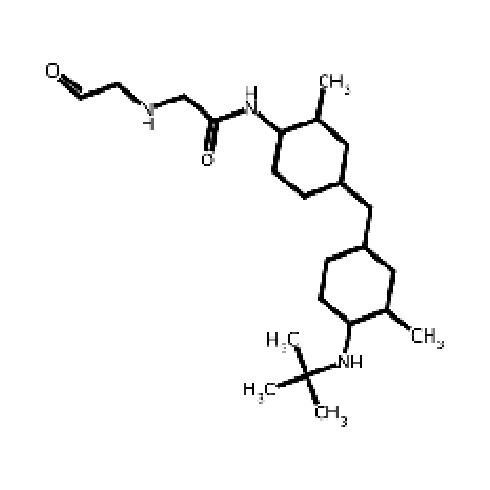 CC1CC(CC2CCC(NC(C)(C)C)C(C)C2)CCC1NC(=O)CNCC=O